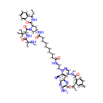 CC[C@@H](NC(=O)C1C[C@H](NC(=O)CCCCCCCCC(=O)NCCN2N=CC3C(=C2C#N)c2cnc(N)c(n2)O[C@H](C)c2cc(F)ccc2C(=O)N3C)CN1C(=O)[C@@H](NC(=O)[C@H](C)NC)C(C)(C)C)c1ccccc1